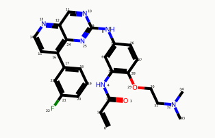 C=CC(=O)Nc1cc(Nc2ncc3nccc(-c4cccc(F)c4)c3n2)ccc1OCCN(C)C